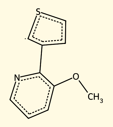 COc1cccnc1-c1[c]scc1